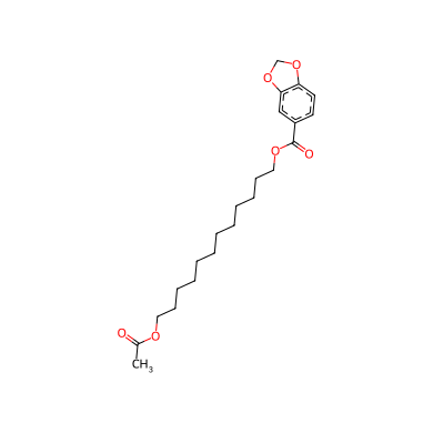 CC(=O)OCCCCCCCCCCCCOC(=O)c1ccc2c(c1)OCO2